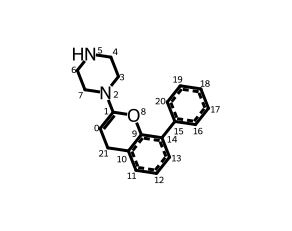 C1=C(N2CCNCC2)Oc2c(cccc2-c2ccccc2)C1